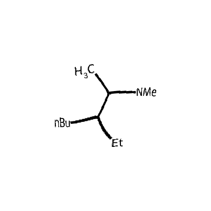 CCCCC(CC)C(C)NC